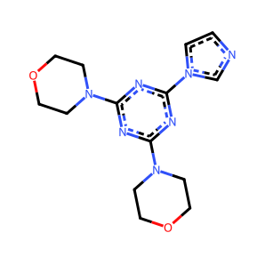 c1cn(-c2nc(N3CCOCC3)nc(N3CCOCC3)n2)cn1